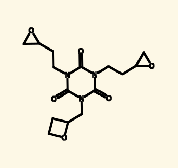 O=c1n(CCC2CO2)c(=O)n(CC2CCO2)c(=O)n1CCC1CO1